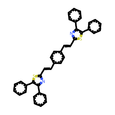 C(=Cc1nc(-c2ccccc2)c(-c2ccccc2)s1)c1ccc(C=Cc2nc(-c3ccccc3)c(-c3ccccc3)s2)cc1